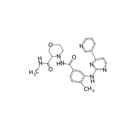 CNC(=O)C1COCCN1NC(=O)c1ccc(C)c(Nc2nccc(-c3cccnc3)n2)c1